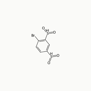 O=[SH](=O)c1ccc(Br)c([SH](=O)=O)c1